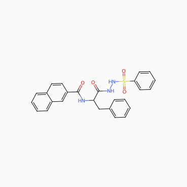 O=C(NC(Cc1ccccc1)C(=O)NNS(=O)(=O)c1ccccc1)c1ccc2ccccc2c1